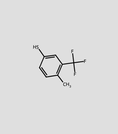 Cc1ccc(S)cc1C(F)(F)F